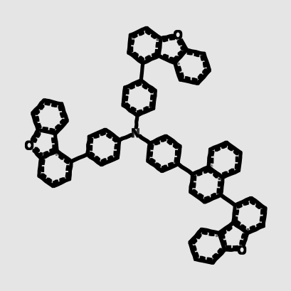 c1ccc2c(c1)oc1cccc(-c3ccc(N(c4ccc(-c5ccc(-c6cccc7oc8ccccc8c67)c6ccccc56)cc4)c4ccc(-c5cccc6oc7ccccc7c56)cc4)cc3)c12